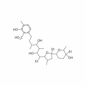 CCC(C(O)C(C)C(O)C(C)CCc1ccc(C)c(O)c1C(=O)O)C1OC(CC)(C2CCC(O)(CC)C(C)O2)CC1C